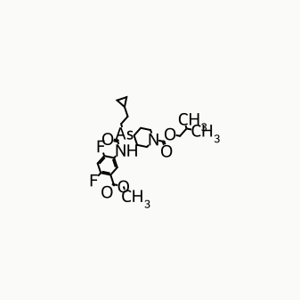 COC(=O)c1cc(NC(=O)[As](CCC2CC2)C2CCN(C(=O)OCC(C)C)CC2)c(F)cc1F